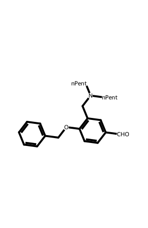 CCCCCN(CCCCC)Cc1cc(C=O)ccc1OCc1ccccc1